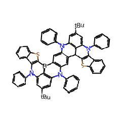 CC(C)(C)c1cc2c3c(c1)N(c1ccccc1)c1c(sc4ccccc14)B3c1cc3c(cc1N2c1ccccc1)C1c2sc4ccccc4c2N(c2ccccc2)c2cc(C(C)(C)C)cc(c21)N3c1ccccc1